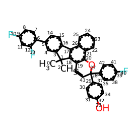 CC1(C)c2cc(-c3ccc(F)cc3F)ccc2-c2c1c1c(c3ccccc23)OC(c2ccc(O)cc2)(c2ccc(F)cc2)C=C1